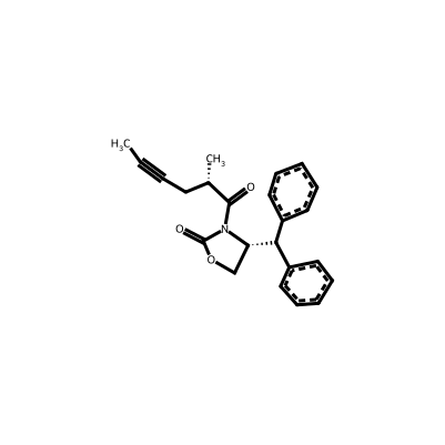 CC#CC[C@H](C)C(=O)N1C(=O)OC[C@H]1C(c1ccccc1)c1ccccc1